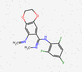 C=Nc1cc2c(cc1/C(=N\C)Nc1c(F)cc(F)cc1F)OCCO2